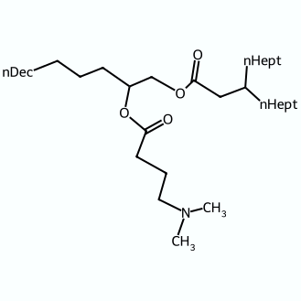 CCCCCCCCCCCCCC(COC(=O)CC(CCCCCCC)CCCCCCC)OC(=O)CCCN(C)C